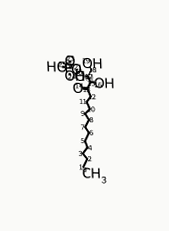 CCCCCCCCCCCCCC(=O)C(O)[C@H](CO)OOP(=O)(O)O